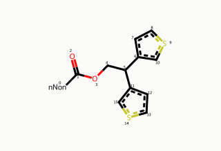 CCCCCCCCCC(=O)OCC(c1ccsc1)c1ccsc1